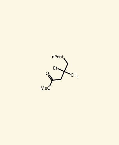 CCCCCCC(C)(CC)CC(=O)OC